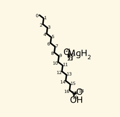 CCCCCCCCCCCCCCCCCC(=O)O.[MgH2].[O]=[Ti]